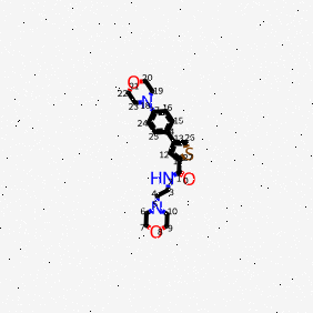 O=C(NCCN1CCOCC1)c1cc(-c2ccc(N3CCOCC3)cc2)cs1